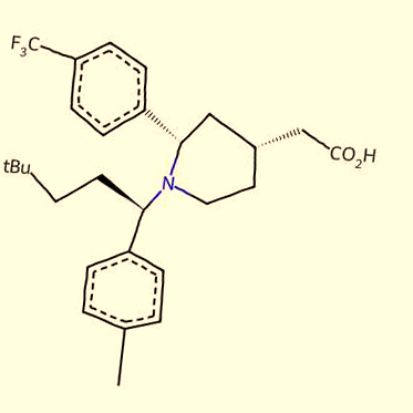 Cc1ccc([C@@H](CCC(C)(C)C)N2CC[C@@H](CC(=O)O)C[C@H]2c2ccc(C(F)(F)F)cc2)cc1